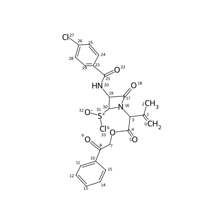 C=C(C)C(C(=O)OCC(=O)c1ccccc1)N1C(=O)C(NC(=O)c2ccc(Cl)cc2)C1[S+]([O-])Cl